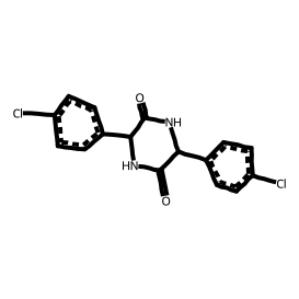 O=C1NC(c2ccc(Cl)cc2)C(=O)NC1c1ccc(Cl)cc1